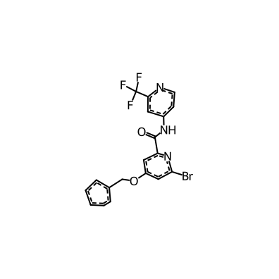 O=C(Nc1ccnc(C(F)(F)F)c1)c1cc(OCc2ccccc2)cc(Br)n1